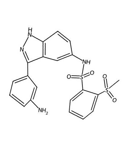 CS(=O)(=O)c1ccccc1S(=O)(=O)Nc1ccc2[nH]nc(-c3cccc(N)c3)c2c1